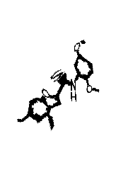 COc1ccc(OC)c(NC(=S)c2cc3c(C)cc(C)cc3o2)c1